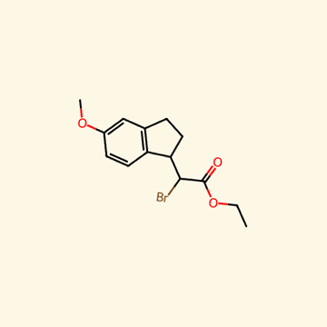 CCOC(=O)C(Br)C1CCc2cc(OC)ccc21